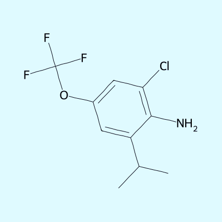 CC(C)c1cc(OC(F)(F)F)cc(Cl)c1N